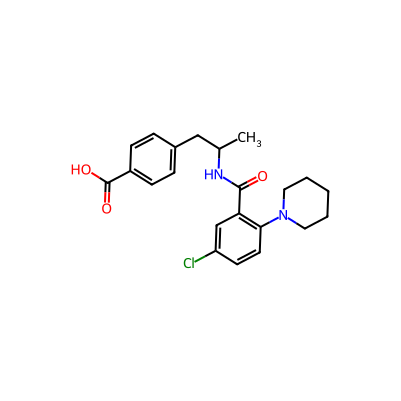 CC(Cc1ccc(C(=O)O)cc1)NC(=O)c1cc(Cl)ccc1N1CCCCC1